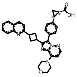 O=C(O)[C@@H]1C[C@@H]1c1ccc(-c2c(C3CC(c4ccc5ccccc5n4)C3)nc3c(N4CCOCC4)ccnn23)cc1